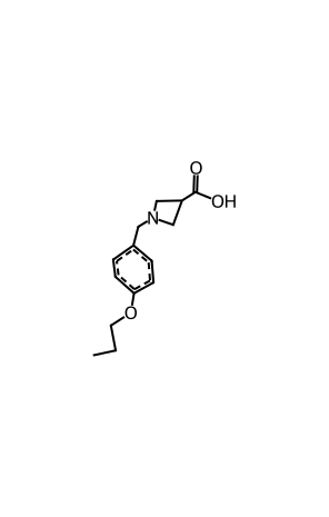 CCCOc1ccc(CN2CC(C(=O)O)C2)cc1